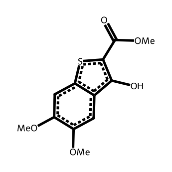 COC(=O)c1sc2cc(OC)c(OC)cc2c1O